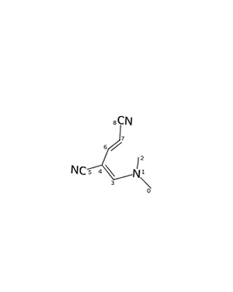 CN(C)C=C(C#N)C=CC#N